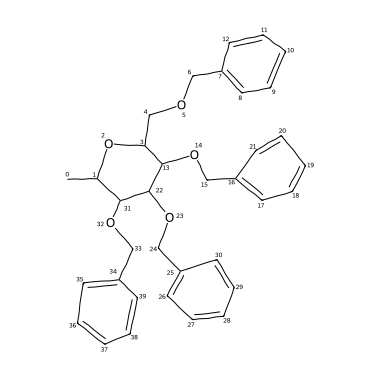 CC1OC(COCc2ccccc2)C(OCc2ccccc2)C(OCc2ccccc2)C1OCc1ccccc1